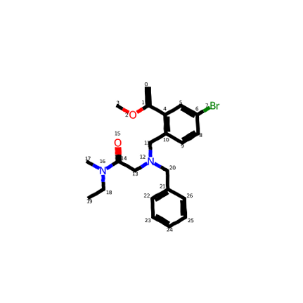 C=C(OC)c1cc(Br)ccc1CN(CC(=O)N(C)CC)Cc1ccccc1